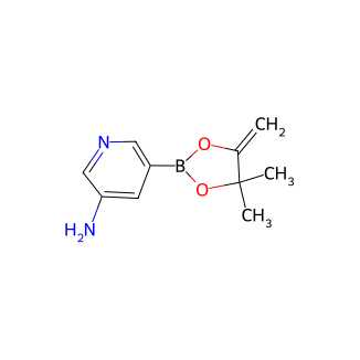 C=C1OB(c2cncc(N)c2)OC1(C)C